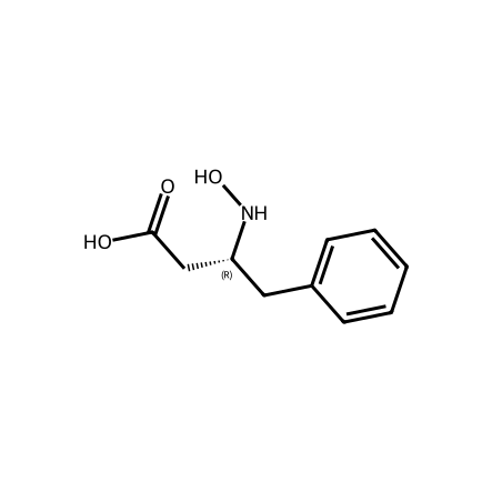 O=C(O)C[C@@H](Cc1ccccc1)NO